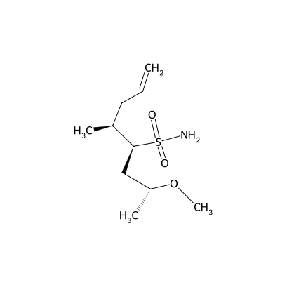 C=CC[C@H](C)[C@H](C[C@@H](C)OC)S(N)(=O)=O